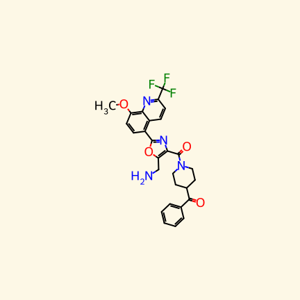 COc1ccc(-c2nc(C(=O)N3CCC(C(=O)c4ccccc4)CC3)c(CN)o2)c2ccc(C(F)(F)F)nc12